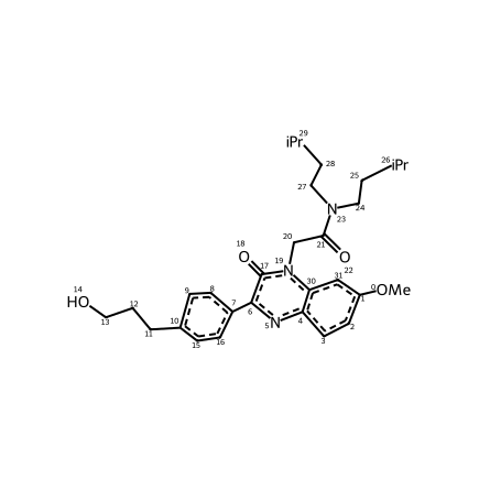 COc1ccc2nc(-c3ccc(CCCO)cc3)c(=O)n(CC(=O)N(CCC(C)C)CCC(C)C)c2c1